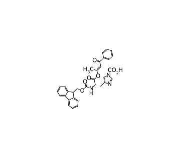 C/C(=C\C(=O)c1ccccc1)OC(=O)[C@H](Cc1cn(C(=O)O)cn1)NC(=O)OCC1c2ccccc2-c2ccccc21